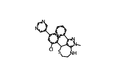 Cn1nc(-c2ccccn2)c2c1NCCSC2c1ccc(-c2cncnc2)cc1Cl